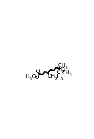 COC(=O)C/C=C(\C)CCCC(C)(C)OC